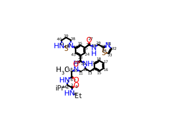 CCNC(=O)[C@@H](NC(=O)[C@H](C)NC[C@H](Cc1ccccc1)NC(=O)c1cc(C(=O)NCc2nccs2)cc(N2CCCNS2)c1)C(C)C